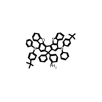 CC(C)(C)c1ccc(N(c2ccccc2)c2cc3c(c4oc5ccccc5c24)-c2c(cc(N(c4ccccc4)c4ccc(C(C)(C)C)cc4)c4c2sc2ccccc24)C3(c2ccccc2)c2cccc(P)c2)cc1